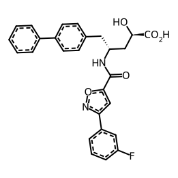 O=C(N[C@H](Cc1ccc(-c2ccccc2)cc1)C[C@@H](O)C(=O)O)c1cc(-c2cccc(F)c2)no1